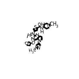 CN1CCC(NC(O)c2cc(Nc3nc(O[C@H]4CCOC4)c4c(ccn4-c4cnn(C)c4)n3)cs2)CC1